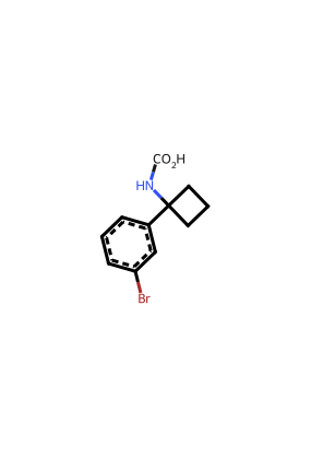 O=C(O)NC1(c2cccc(Br)c2)CCC1